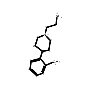 COc1ccccc1C1CCN(CCN)CC1